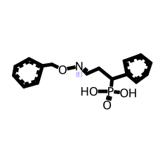 O=P(O)(O)C(C/C=N/OCc1ccccc1)c1ccccc1